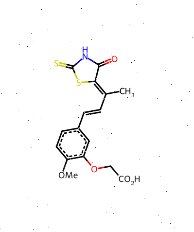 COc1ccc(C=CC(C)=C2SC(=S)NC2=O)cc1OCC(=O)O